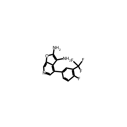 Nc1oc2cncc(-c3ccc(F)c(C(F)(F)F)c3)c2c1N